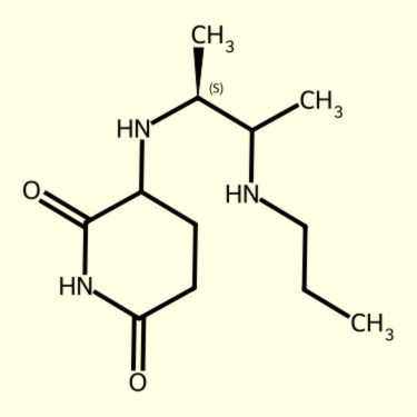 CCCNC(C)[C@H](C)NC1CCC(=O)NC1=O